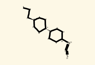 CCC[C@H]1CC[C@H](C2CCC(N=C=S)CC2)CC1